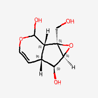 OC[C@]12O[C@H]1[C@@H](O)[C@@H]1C=COC(O)[C@@H]12